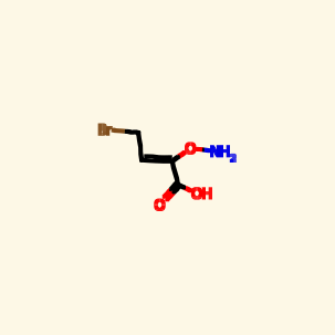 NOC(=CCBr)C(=O)O